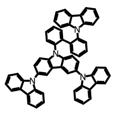 c1ccc(-n2c3ccccc3c3ccccc32)c(-c2ccccc2-n2c3ccc(-n4c5ccccc5c5ccccc54)cc3c3cc(-n4c5ccccc5c5ccccc54)ccc32)c1